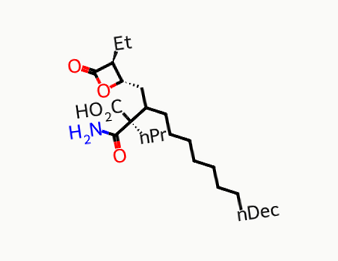 CCCCCCCCCCCCCCCCCC(C[C@@H]1OC(=O)[C@H]1CC)[C@@](CCC)(C(N)=O)C(=O)O